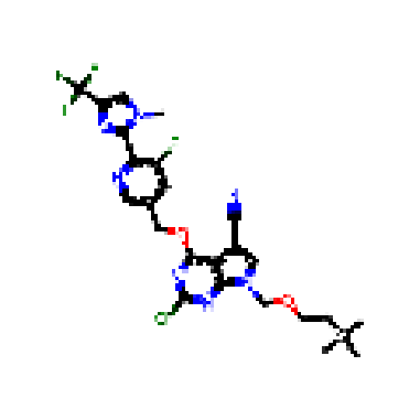 Cn1cc(C(F)(F)F)nc1-c1ncc(COc2nc(Cl)nc3c2c(C#N)cn3COCC[Si](C)(C)C)cc1F